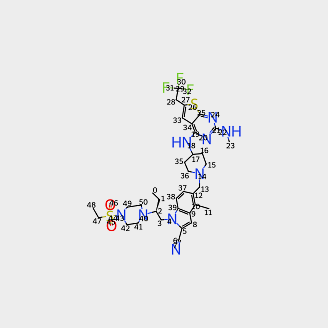 CC[C@@H](Cn1c(C#N)cc2c(C)c(CN3CCC(Nc4nc(NC)nc5sc(CC(F)(F)F)cc45)CC3)ccc21)N1CCN(S(=O)(=O)CC)CC1